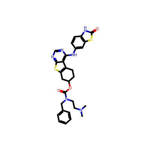 CN(C)CCN(Cc1ccccc1)C(=O)OC1CCc2c(sc3ncnc(Nc4ccc5[nH]c(=O)sc5c4)c23)C1